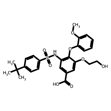 COc1ccccc1Oc1c(NS(=O)(=O)c2ccc(C(C)(C)C)cc2)cc(C(=O)O)cc1OCCO